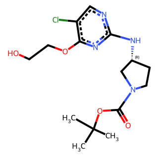 CC(C)(C)OC(=O)N1CC[C@@H](Nc2ncc(Cl)c(OCCO)n2)C1